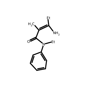 CCC(N)=C(C)C(=O)N(CC)c1ccccc1